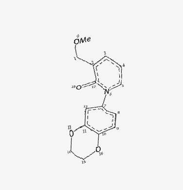 COCc1cccn(-c2ccc3c(c2)OCCO3)c1=O